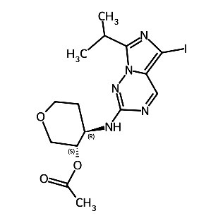 CC(=O)O[C@@H]1COCC[C@H]1Nc1ncc2c(I)nc(C(C)C)n2n1